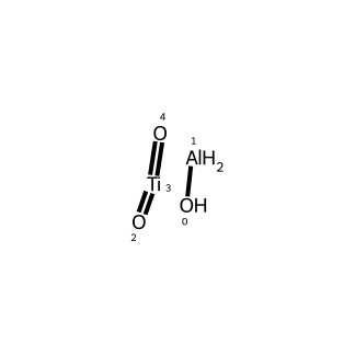 [OH][AlH2].[O]=[Ti]=[O]